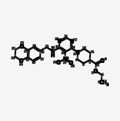 CCOC(=O)C1CCN(c2ncnc(NCc3ccc4c(c3)OCCO4)c2[N+](=O)[O-])CC1